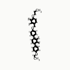 C=CCOc1ccc(COc2ccc(-c3ccc(-c4ccc(OCC)cc4)c(F)c3F)cc2)c(F)c1F